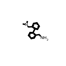 CN(C)Cc1ccccc1-c1cc[c]cc1CN